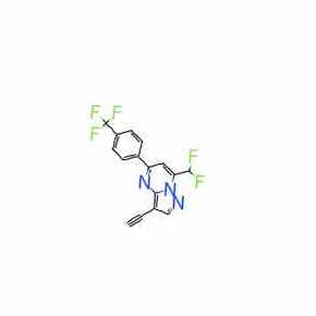 C#Cc1cnn2c(C(F)F)cc(-c3ccc(C(F)(F)F)cc3)nc12